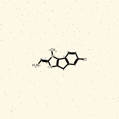 CN1C2=C(Cc3cc(Cl)ccc32)S/C1=C\N